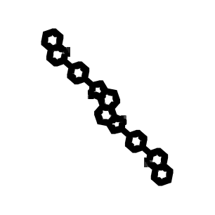 c1ccc2nc(-c3ccc(-c4cc5ccc6c(ccc7cc(-c8ccc(-c9ccc%10ccccc%10n9)cc8)sc76)c5s4)cc3)ccc2c1